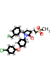 CS(=O)(=O)CC[C@H]1C[C@H](c2cccc(CF)c2)N(c2ccc(Oc3ccc(Cl)cc3)cc2)C1=O